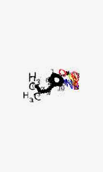 CCC(C)Cc1ccc2c(c1)NS(=O)(=O)CO2